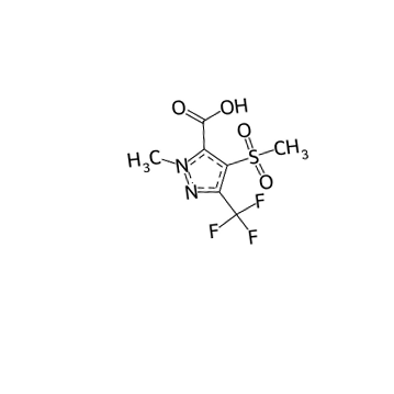 Cn1nc(C(F)(F)F)c(S(C)(=O)=O)c1C(=O)O